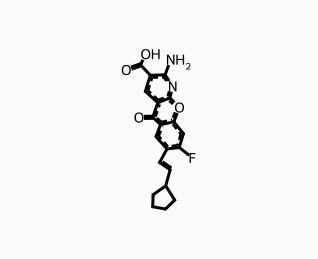 Nc1nc2oc3cc(F)c(/C=C/C4CCCC4)cc3c(=O)c2cc1C(=O)O